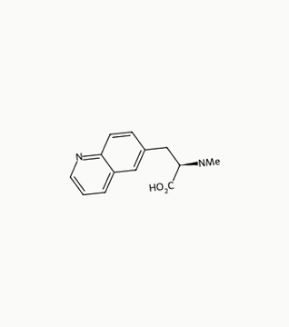 CN[C@H](Cc1ccc2ncccc2c1)C(=O)O